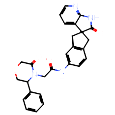 O=C(CN1C(=O)COCC1c1ccccc1)Nc1ccc2c(c1)CC1(C2)C(=O)Nc2ncccc21